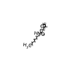 CCCCCCCCNC(=O)OCc1ccco1